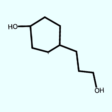 OCCCC1[CH]CC(O)CC1